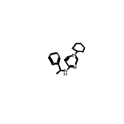 CC(NC1=NCN(C2CCCCC2)C=C1)c1ccccc1